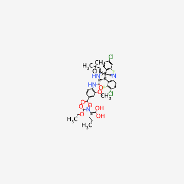 CCC[C@@H](C(O)O)N(OC(=O)c1ccc(NC(=O)[C@@H]2N[C@@H](CC(C)(C)C)[C@](C#N)(c3ccc(Cl)cc3F)[C@H]2c2cccc(Cl)c2F)c(OC)c1)C(=O)OCC